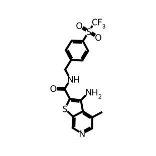 Cc1cncc2sc(C(=O)NCc3ccc(S(=O)(=O)C(F)(F)F)cc3)c(N)c12